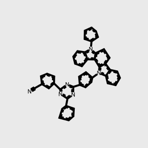 N#Cc1cccc(-c2nc(-c3ccccc3)nc(-c3ccc(-n4c5ccccc5c5ccc6c(c7ccccc7n6-c6ccccc6)c54)cc3)n2)c1